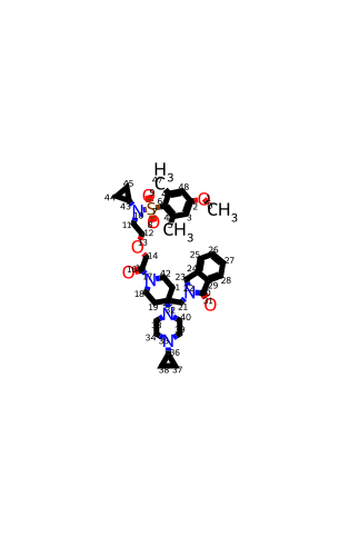 COc1cc(C)c(S(=O)(=O)N(CCOCC(=O)N2CCC(CN3Cc4ccccc4C3=O)(N3CCN(C4CC4)CC3)CC2)C2CC2)c(C)c1